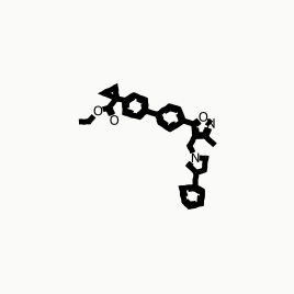 CCOC(=O)C1(c2ccc(-c3ccc(-c4onc(C)c4CN4CCC(c5ccccc5)C4)cc3)cc2)CC1